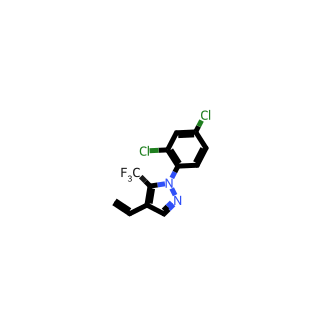 C=Cc1cnn(-c2ccc(Cl)cc2Cl)c1C(F)(F)F